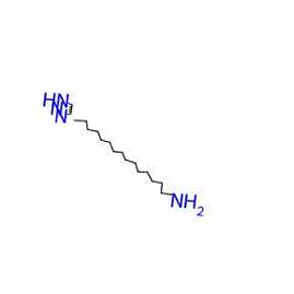 CCCCCCCCCCCCCCCCN.c1c[nH]nn1